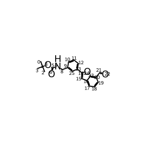 CC(C)(C)OC(=O)NCc1cccc(-c2cc3cccc(C=O)c3o2)c1